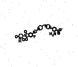 Nc1cc(N2CCN(CC3CCN(C4CN(c5cc6c(cc5F)C(=O)N(C5CCC(=O)NC5=O)C6=O)C4)CC3)CC2)ccc1[N+](=O)[O-]